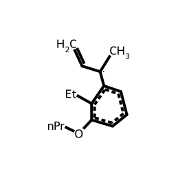 C=C[C](C)c1cccc(OCCC)c1CC